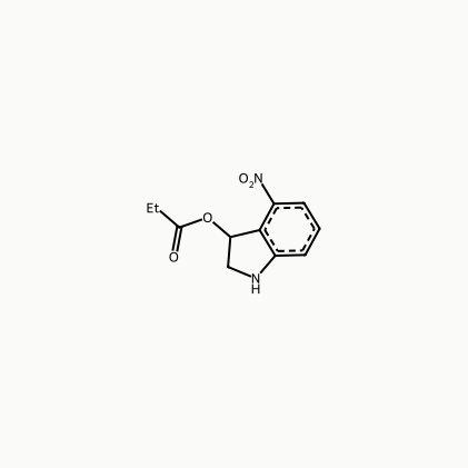 CCC(=O)OC1CNc2cccc([N+](=O)[O-])c21